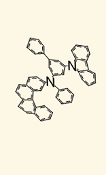 c1ccc(-c2cc(N(c3ccccc3)c3ccc4ccc5ccc6ccccc6c5c4c3)cc(-n3c4ccccc4c4ccccc43)c2)cc1